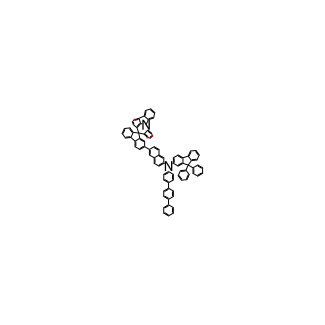 c1ccc(-c2ccc(-c3ccc(N(c4ccc5c(c4)C(c4ccccc4)(c4ccccc4)c4ccccc4-5)c4ccc5cc(-c6ccc7c(c6)C6(c8ccccc8-7)c7ccccc7-n7c8ccccc8c8cccc6c87)ccc5c4)cc3)cc2)cc1